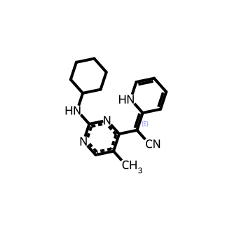 Cc1cnc(NC2CCCCC2)nc1/C(C#N)=C1/C=CC=CN1